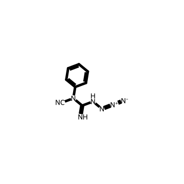 N#CN(C(=N)NN=[N+]=[N-])c1ccccc1